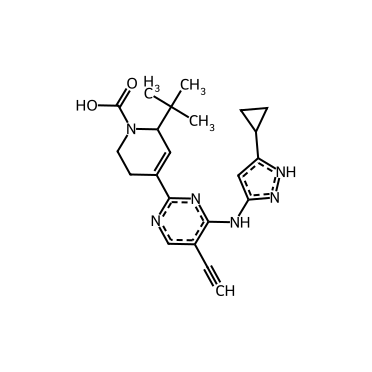 C#Cc1cnc(C2=CC(C(C)(C)C)N(C(=O)O)CC2)nc1Nc1cc(C2CC2)[nH]n1